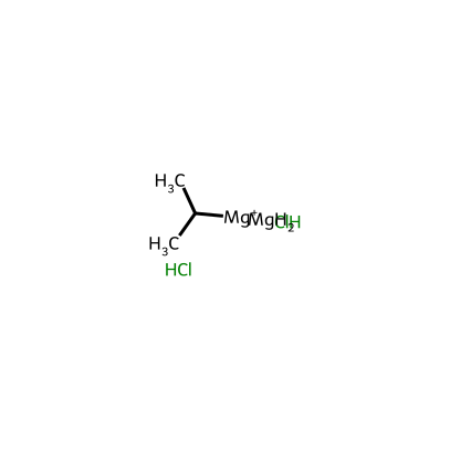 C[CH](C)[Mg+].Cl.Cl.[MgH2]